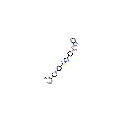 CCCCOC(OC)C1CCN(c2ccc(-c3nn4cc(-c5ccc(C(=O)On6nnc7ccccc76)cc5)nc4s3)cc2)CC1